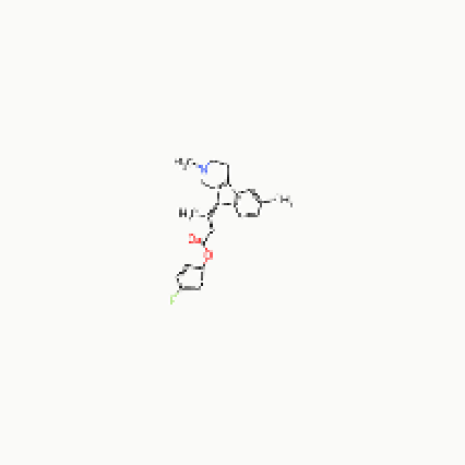 C/C(CC(=O)Oc1ccc(F)cc1)=C1\C2=C(CCN(C)C2)c2cc(C)ccc21